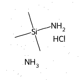 C[Si](C)(C)N.Cl.N